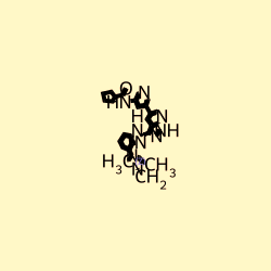 C=N/C(C)=C\N(C)c1cccc2[nH]c(-c3n[nH]c4ncc(-c5cncc(NC(=O)C6CCCC6)c5)cc34)nc12